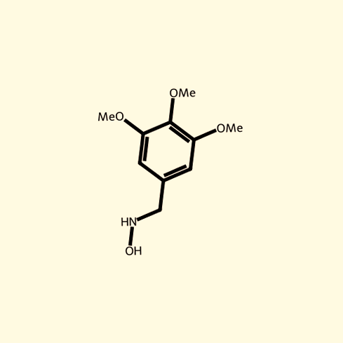 COc1cc(CNO)cc(OC)c1OC